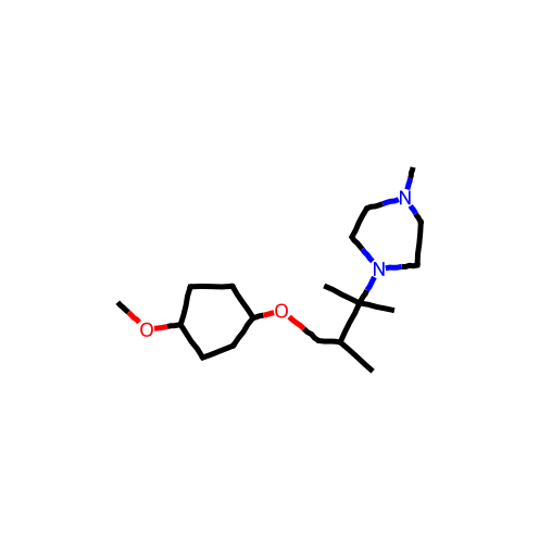 COC1CCC(OCC(C)C(C)(C)N2CCN(C)CC2)CC1